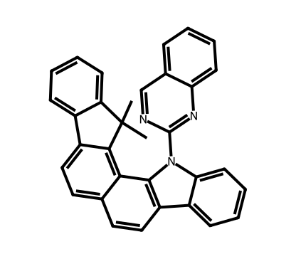 CC1(C)c2ccccc2-c2ccc3ccc4c5ccccc5n(-c5ncc6ccccc6n5)c4c3c21